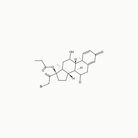 CCC(=O)O[C@]1(C(=O)CBr)CC[C@H]2[C@@H]3C(Cl)CC4=CC(=O)C=C[C@]4(C)[C@H]3C(O)C[C@@]21C